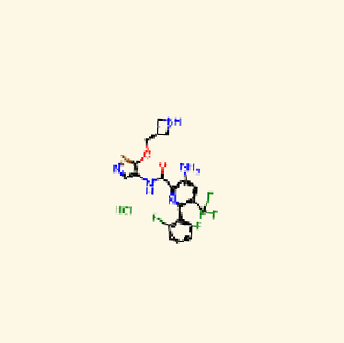 Cl.Nc1cc(C(F)(F)F)c(-c2c(F)cccc2F)nc1C(=O)Nc1cnsc1OCC1CNC1